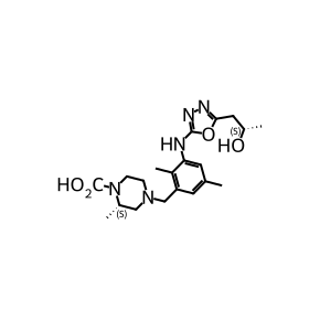 Cc1cc(CN2CCN(C(=O)O)[C@@H](C)C2)c(C)c(Nc2nnc(C[C@H](C)O)o2)c1